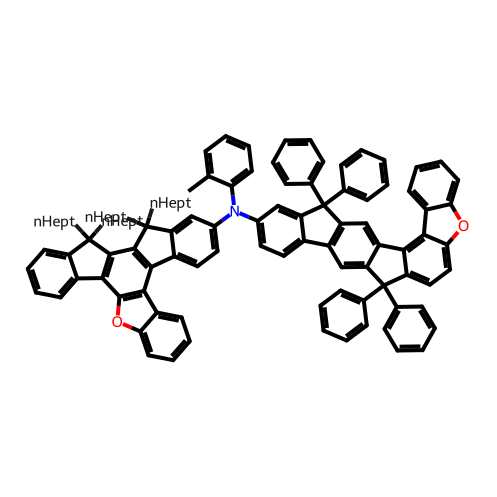 CCCCCCCC1(CCCCCCC)c2ccccc2-c2c1c1c(c3c2oc2ccccc23)-c2ccc(N(c3ccc4c(c3)C(c3ccccc3)(c3ccccc3)c3cc5c(cc3-4)C(c3ccccc3)(c3ccccc3)c3ccc4oc6ccccc6c4c3-5)c3ccccc3C)cc2C1(CCCCCCC)CCCCCCC